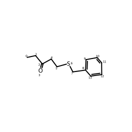 CCC(=O)CCSCc1ccccc1